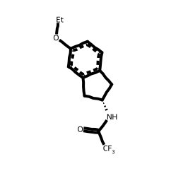 CCOc1ccc2c(c1)C[C@@H](NC(=O)C(F)(F)F)C2